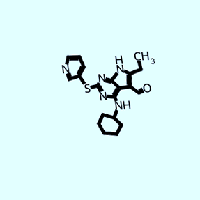 CCc1[nH]c2nc(Sc3cccnc3)nc(NC3CCCCC3)c2c1C=O